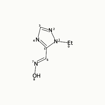 CCn1ncnc1/C=N/O